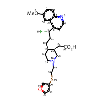 COc1ccc2nccc([C@@H](F)CC[C@@H]3CCN(CCSc4ccoc4)C[C@@H]3CC(=O)O)c2c1